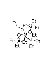 CC[Si](CC)(CC)O[Si](CCCI)(O[Si](CC)(CC)CC)O[Si](CC)(CC)CC